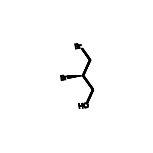 OC[C@H](Br)CBr